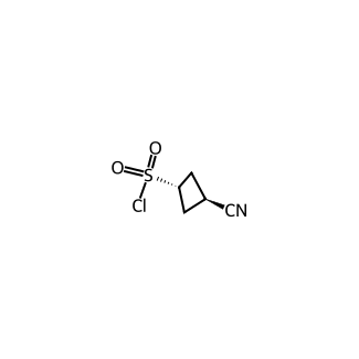 N#C[C@H]1C[C@H](S(=O)(=O)Cl)C1